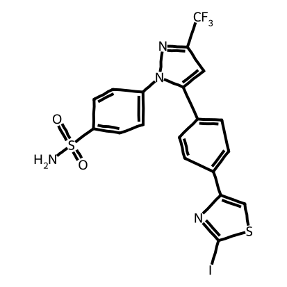 NS(=O)(=O)c1ccc(-n2nc(C(F)(F)F)cc2-c2ccc(-c3csc(I)n3)cc2)cc1